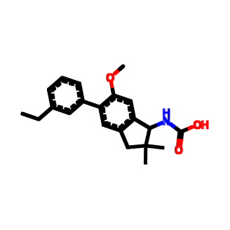 CCc1cccc(-c2cc3c(cc2OC)C(NC(=O)O)C(C)(C)C3)c1